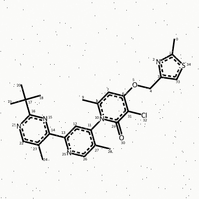 Cc1nc(COc2cc(C)n(-c3cc(-c4nc(C(C)(C)C)ncc4C)ncc3C)c(=O)c2Cl)cs1